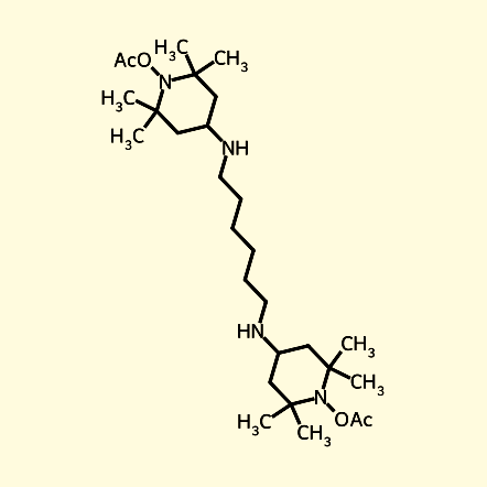 CC(=O)ON1C(C)(C)CC(NCCCCCCNC2CC(C)(C)N(OC(C)=O)C(C)(C)C2)CC1(C)C